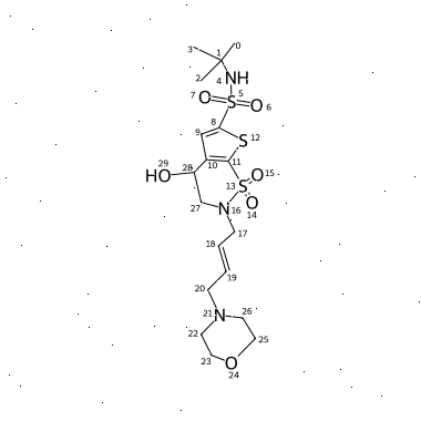 CC(C)(C)NS(=O)(=O)c1cc2c(s1)S(=O)(=O)N(C/C=C/CN1CCOCC1)CC2O